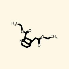 CCOC(=O)CC1C2CCN(CC2)C1C(=O)OCC